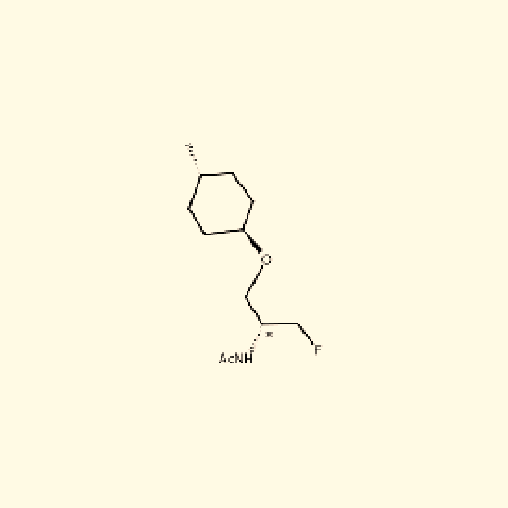 CC(=O)N[C@@H](CF)CO[C@H]1CC[C@H](C)CC1